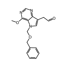 COc1ncnc2c(CC=O)cn(COCc3ccccc3)c12